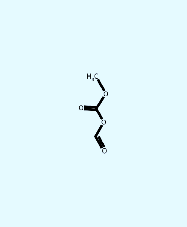 COC(=O)OC=O